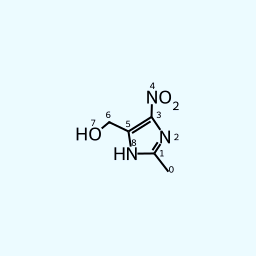 Cc1nc([N+](=O)[O-])c(CO)[nH]1